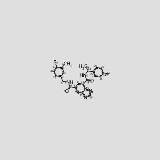 Cc1cc(CNC(=O)c2cc(C(=O)N[C@@H](C)c3ccc(F)cc3)n3ncnc3n2)ccc1F